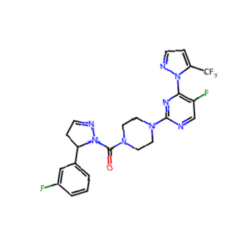 O=C(N1CCN(c2ncc(F)c(-n3nccc3C(F)(F)F)n2)CC1)N1N=CCC1c1cccc(F)c1